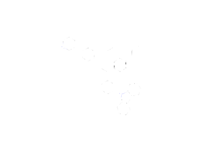 CC(C)(C)C1=Cc2ccc3c4c2C(C=CC4C(c2ccc(-c4cccnc4)cc2)C=C3c2cccc(-n3c4ccccc4c4ccccc43)c2)C1